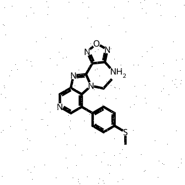 CCn1c(-c2nonc2N)nc2cncc(-c3ccc(SC)cc3)c21